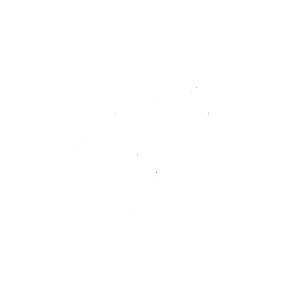 COC(=O)C1CCCCCN1C(=O)OC(C)(C)C